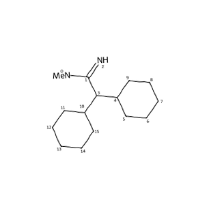 CNC(=N)C(C1CCCCC1)C1CCCCC1